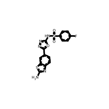 Nc1nc2ccc(-c3nnc(NS(=O)(=O)c4ccc(F)cc4)o3)cc2s1